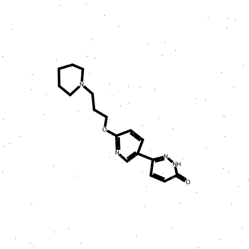 O=c1ccc(-c2ccc(OCCCN3CCCCC3)nc2)n[nH]1